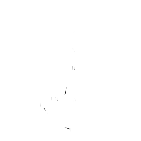 O=C(N[C@@H]1C[C@@H]2CC[C@H]1C2)[C@H]1CCN(c2cccc(C(F)(F)F)n2)C1